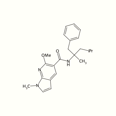 COc1nc2c(ccn2C)cc1C(=O)NC(C)(Cc1ccccc1)CC(C)C